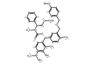 COc1ccc(COCc2cc([C@@H](CC(=O)N(C)[C@H](COC=O)c3ccccc3)c3ccc(N(C)N)c(N)c3C)ccc2C)cc1